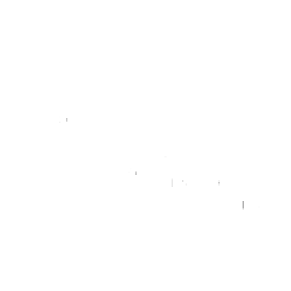 O=CONC(=O)OC(C(=O)c1ccccc1)c1ccccc1